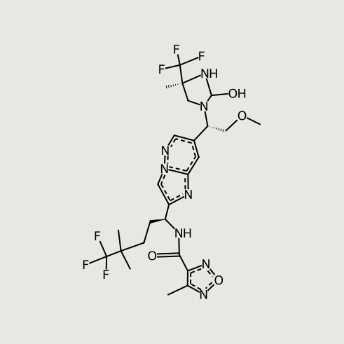 COC[C@H](c1cnn2cc([C@H](CCC(C)(C)C(F)(F)F)NC(=O)c3nonc3C)nc2c1)N1C[C@@](C)(C(F)(F)F)NC1O